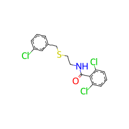 O=C(NCCSCc1cccc(Cl)c1)c1c(Cl)cccc1Cl